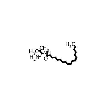 CCCCC/C=C\C/C=C\CCCCCCCC(=O)N[C@H](CN)C(C)C